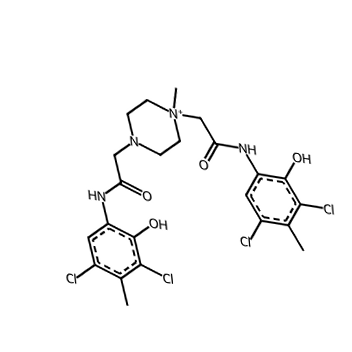 Cc1c(Cl)cc(NC(=O)CN2CC[N+](C)(CC(=O)Nc3cc(Cl)c(C)c(Cl)c3O)CC2)c(O)c1Cl